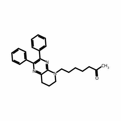 CC(=O)CCCCCN1CCCc2nc(-c3ccccc3)c(-c3ccccc3)nc21